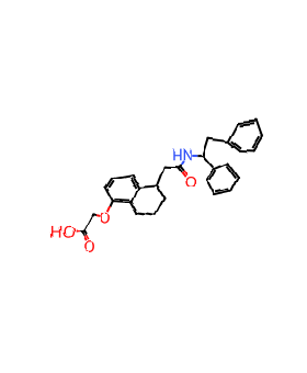 O=C(O)COc1cccc2c1CCCC2CC(=O)NC(Cc1ccccc1)c1ccccc1